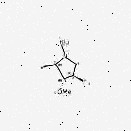 CO[C@H]1[C@H](F)CN(C(C)(C)C)[C@@H]1C